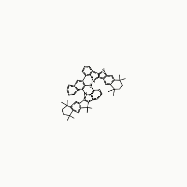 CC1(C)CCC(C)(C)c2cc3c(cc21)-c1c(c2cccc4c2n1-c1c2c(cc5ccccc15)-c1cccc5c6sc7cc8c(cc7c6n(c15)B24)C(C)(C)CCC8(C)C)C3(C)C